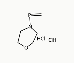 C=PN1CCOCC1.Cl.Cl